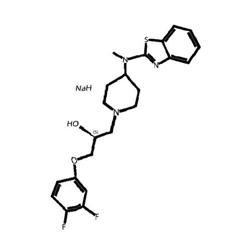 CN(c1nc2ccccc2s1)C1CCN(C[C@H](O)COc2ccc(F)c(F)c2)CC1.[NaH]